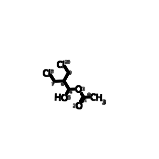 CC(=O)OC(O)C(CCl)CCl